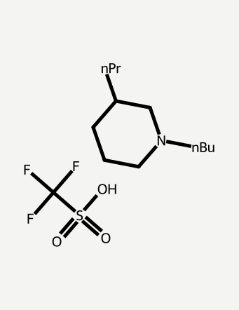 CCCCN1CCCC(CCC)C1.O=S(=O)(O)C(F)(F)F